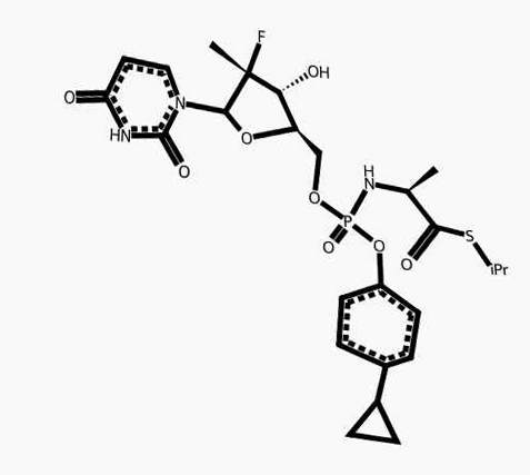 CC(C)SC(=O)[C@H](C)NP(=O)(OC[C@H]1OC(n2ccc(=O)[nH]c2=O)[C@](C)(F)[C@@H]1O)Oc1ccc(C2CC2)cc1